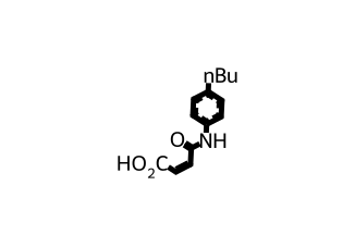 CCCCc1ccc(NC(=O)/C=C\C(=O)O)cc1